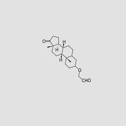 C[C@]12CCC(OCC=O)CC1CC[C@@H]1[C@H]2CC[C@]2(C)C(=O)CC[C@@H]12